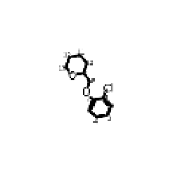 Clc1cc[c]cc1OCC1CCCCO1